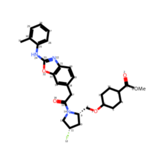 COC(=O)C1CCC(OC[C@@H]2C[C@H](F)CN2C(=O)Cc2ccc3nc(Nc4ccccc4C)oc3c2)CC1